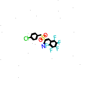 N#CC(=Cc1c(F)c(F)c(F)c(F)c1F)S(=O)(=O)Cc1ccc(Cl)cc1